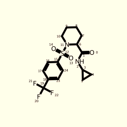 O=C(NC1CC1)C1CCCCN1S(=O)(=O)c1ccc(C(F)(F)F)cc1